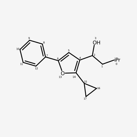 CC(C)CC(O)c1cc(-c2ccccc2)oc1C1CC1